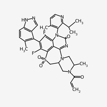 C=CC(=O)N1CC2CS(=O)(=O)c3c(F)c(-c4c(C)ccc5[nH]ncc45)c(F)c4c3c(nc(=O)n4-c3c(C)ccnc3C(C)C)N2CC1C